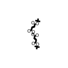 CC(C)(C)OC(=O)/C=C/C(=O)OOC(=O)/C=C/C(=O)OC(C)(C)C